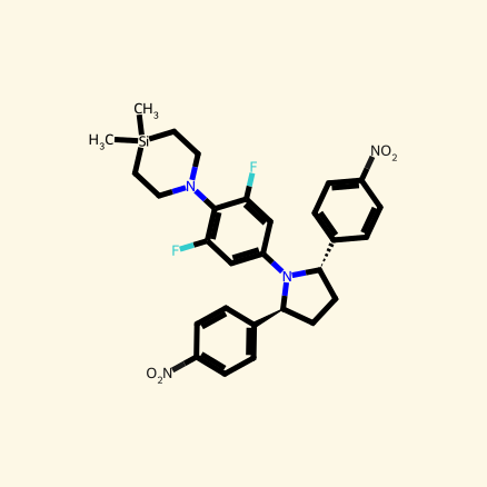 C[Si]1(C)CCN(c2c(F)cc(N3[C@H](c4ccc([N+](=O)[O-])cc4)CC[C@H]3c3ccc([N+](=O)[O-])cc3)cc2F)CC1